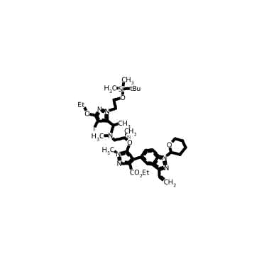 C=Cc1nn(C2CCCCO2)c2ccc(-c3c(C(=O)OCC)nn(C)c3O[C@@H](C)CN(C)C(C)c3c(I)c(OCC)nn3CCO[Si](C)(C)C(C)(C)C)cc12